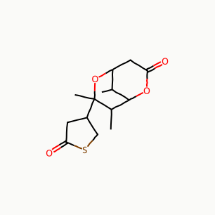 CC1C2CC(=O)OC1C(C)C(C)(C1CSC(=O)C1)O2